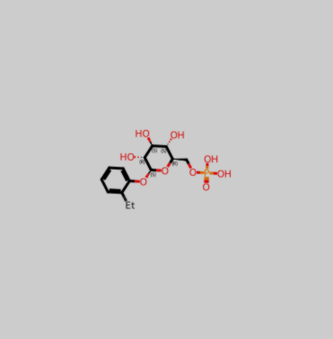 CCc1ccccc1O[C@@H]1O[C@H](COP(=O)(O)O)[C@@H](O)[C@H](O)[C@H]1O